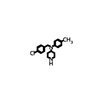 Cc1ccc(N(Cc2ccc(Cl)cc2)C2CCNCC2)cc1